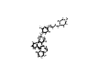 Cc1cc(OCCCN2CCN(C)CC2)ccc1Nc1ncc2c(=O)n(-c3ccccc3Cl)c3nccn3c2n1